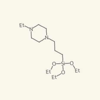 CCO[Si](CCCN1CCN(CC)CC1)(OCC)OCC